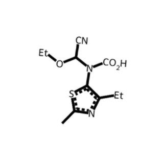 CCOC(C#N)N(C(=O)O)c1sc(C)nc1CC